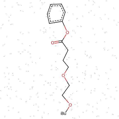 CCC(C)OCCOCCCC(=O)Oc1ccccc1